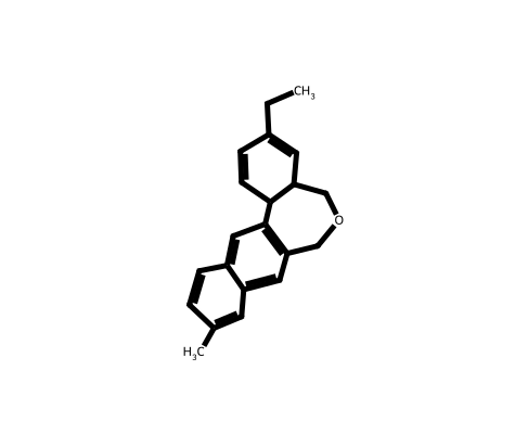 CCC1=CC2COCc3cc4cc(C)ccc4cc3C2C=C1